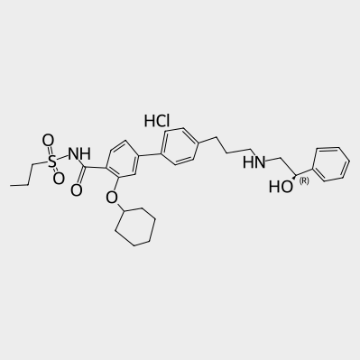 CCCS(=O)(=O)NC(=O)c1ccc(-c2ccc(CCCNC[C@H](O)c3ccccc3)cc2)cc1OC1CCCCC1.Cl